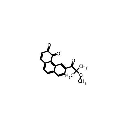 COC(C)(C)C(=O)c1ccc2ccc3c(c2c1)C(=O)C(=O)C=C3